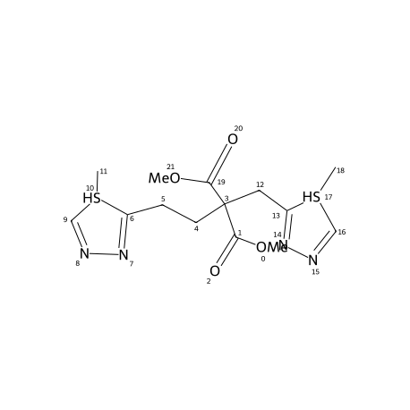 COC(=O)C(CCC1=NN=C[SH]1C)(CC1=NN=C[SH]1C)C(=O)OC